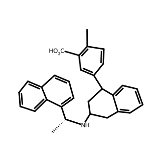 Cc1ccc(C2CC(N[C@H](C)c3cccc4ccccc34)Cc3ccccc32)cc1C(=O)O